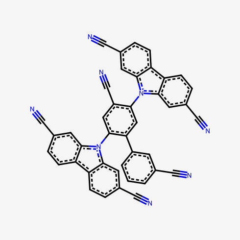 N#Cc1cccc(-c2cc(-n3c4cc(C#N)ccc4c4ccc(C#N)cc43)c(C#N)cc2-n2c3cc(C#N)ccc3c3ccc(C#N)cc32)c1